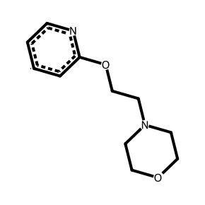 [c]1ccnc(OCCN2CCOCC2)c1